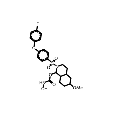 COC1CCC2C(CCN(S(=O)(=O)c3ccc(Oc4ccc(F)cc4)cc3)C2OC(=O)NO)C1